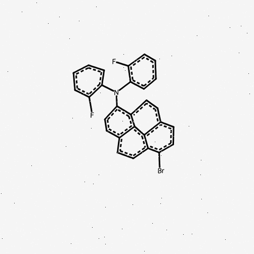 Fc1ccccc1N(c1ccccc1F)c1ccc2ccc3c(Br)ccc4ccc1c2c43